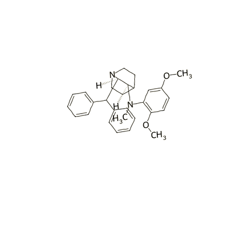 COc1ccc(OC)c(N(C)[C@@H]2C3CCN(CC3)[C@@H]2C(c2ccccc2)c2ccccc2)c1